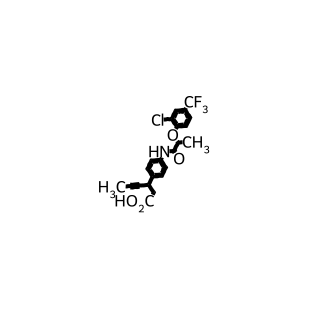 CC#CC(CC(=O)O)c1ccc(NC(=O)C(C)Oc2ccc(C(F)(F)F)cc2Cl)cc1